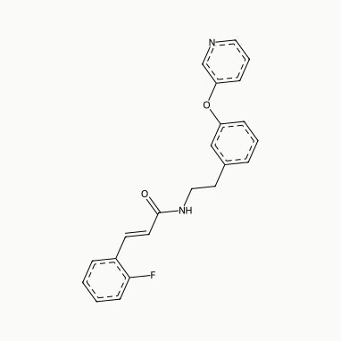 O=C(C=Cc1ccccc1F)NCCc1cccc(Oc2cccnc2)c1